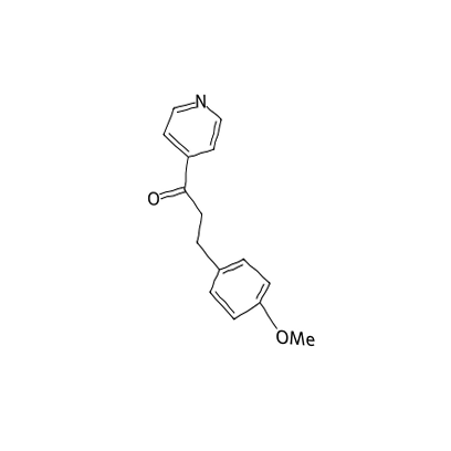 COc1ccc(CCC(=O)c2ccncc2)cc1